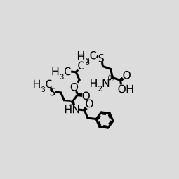 CSCC[C@H](N)C(=O)O.CSCC[C@H](NC(=O)Cc1ccccc1)C(=O)OCC(C)C